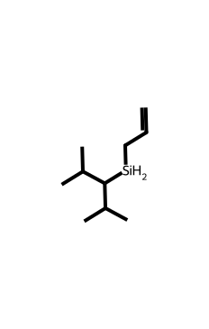 C=CC[SiH2]C(C(C)C)C(C)C